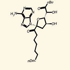 CCCCCCCCCCCCCCCC(=O)[C@]1(n2cnc3c(N)ncnc32)C[C@H](O)[C@@H](C(O)C(=O)CCCC)O1